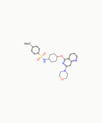 COc1ccc(S(=O)(=O)NC2CCC(Oc3nc(N4CCOCC4)cc4ncccc34)CC2)cc1